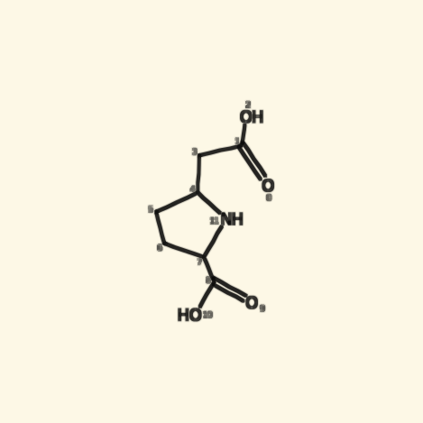 O=C(O)CC1CCC(C(=O)O)N1